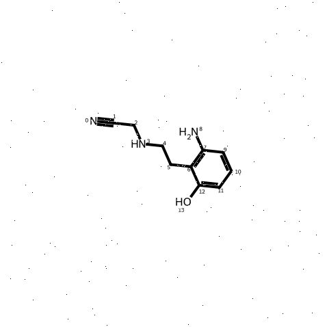 N#CCNCCc1c(N)cccc1O